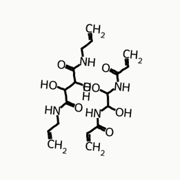 C=CC(=O)NC(O)C(O)NC(=O)C=C.C=CCNC(=O)C(O)C(O)C(=O)NCC=C